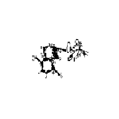 Cc1ccc(C)c2cc(OS(=O)(=O)C(F)(F)F)ncc12